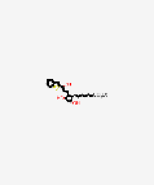 CCOC(=O)CCCCCC[C@@H]1C(CC[C@@H](O)c2cc3ccccc3s2)[C@H](O)C[C@@H]1O